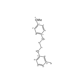 COc1ccc(OCCOc2cccc(C)c2)cc1